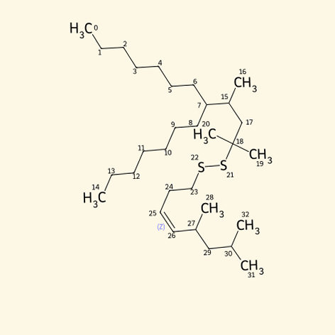 CCCCCCCC(CCCCCCC)C(C)CC(C)(C)SSCC/C=C\C(C)CC(C)C